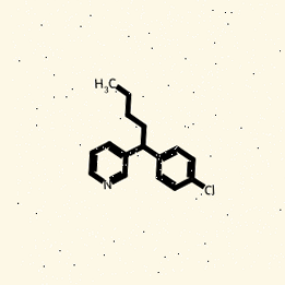 CCCC[C](c1ccc(Cl)cc1)c1cccnc1